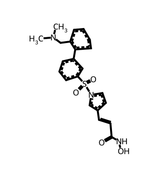 CN(C)Cc1ccccc1-c1cccc(S(=O)(=O)n2ccc(/C=C/C(=O)NO)c2)c1